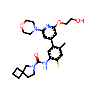 Cc1cc(F)c(NC(=O)N2CCC3(CCC3)C2)cc1-c1cc(OCCO)nc(N2CCOCC2)c1